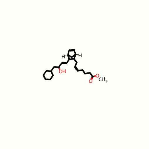 COC(=O)CCC/C=C\CC1C(C=CC(O)CC2CCCCC2)[C@H]2C=C[C@H]1C2